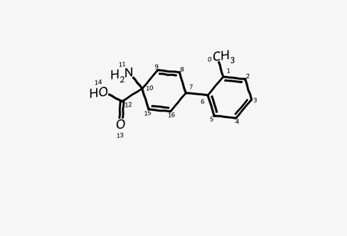 Cc1ccccc1C1C=CC(N)(C(=O)O)C=C1